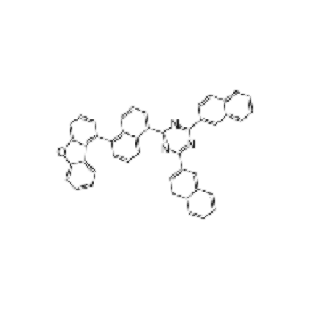 C1=CC2=CC(c3nc(-c4ccc5ccccc5c4)nc(-c4cccc5c(-c6cccc7oc8ccccc8c67)cccc45)n3)=CCC2C=C1